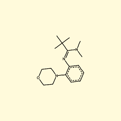 CN(C)C(=Nc1ccccc1N1CCOCC1)C(C)(C)C